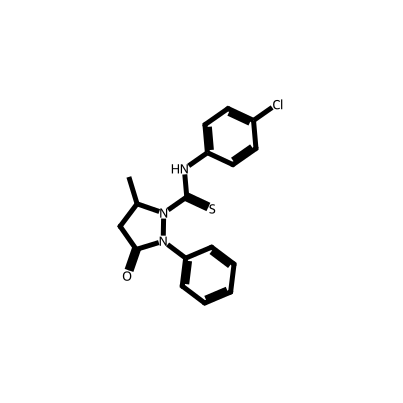 CC1CC(=O)N(c2ccccc2)N1C(=S)Nc1ccc(Cl)cc1